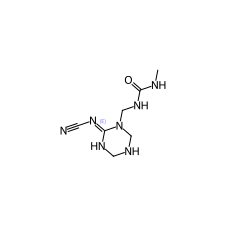 CNC(=O)NCN1CNCN/C1=N\C#N